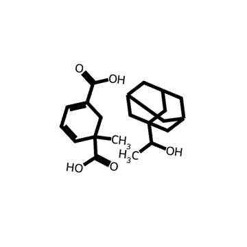 CC(O)C12CC3CC(CC(C3)C1)C2.CC1(C(=O)O)C=CC=C(C(=O)O)C1